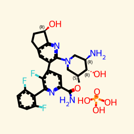 C[C@H]1CN(c2nc3c(cc2-c2cc(C(N)=O)nc(-c4c(F)cccc4F)c2F)CC[C@H]3O)C[C@@H](N)[C@@H]1O.O=P(O)(O)O